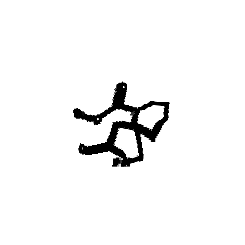 CC(C)(C)OC(=O)N1CCCCC12CNC(=O)C2